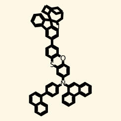 IC1CC2CC3CC(C3C2)C12c1ccccc1-c1cc(-c3ccc4c(c3)Oc3ccc(N(c5ccc(-c6cccc7ccccc67)cc5)c5cc6ccccc6c6ccccc56)cc3S4)ccc12